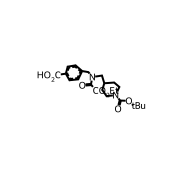 CCOC(=O)C(=O)N(Cc1ccc(C(=O)O)cc1)CC1CCN(C(=O)OC(C)(C)C)CC1